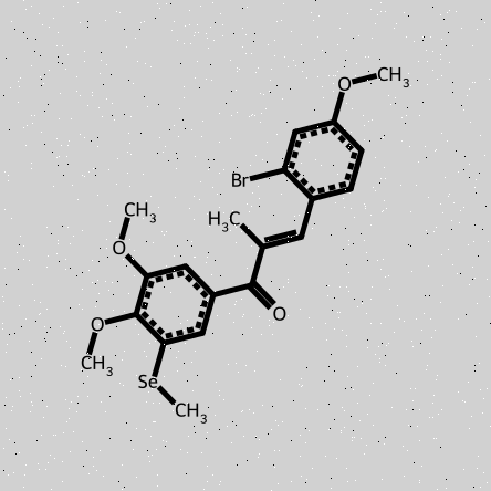 COc1ccc(/C=C(\C)C(=O)c2cc(OC)c(OC)c([Se]C)c2)c(Br)c1